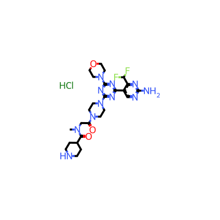 CN(CC(=O)N1CCN(c2nc(-c3cnc(N)nc3C(F)F)nc(N3CCOCC3)n2)CC1)C(=O)C1CCNCC1.Cl